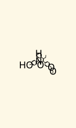 CCC(=C(C(=O)Nc1ccc(O)cc1)c1ccc(OCOC)cc1)c1ccccc1